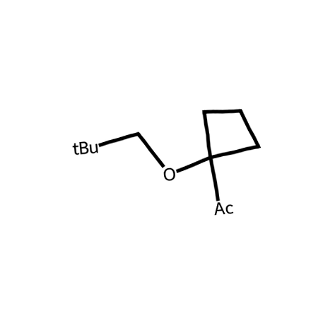 CC(=O)C1(OCC(C)(C)C)CCC1